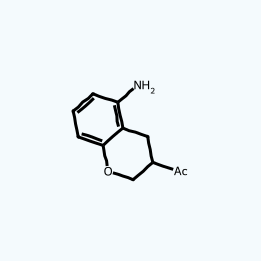 CC(=O)C1COc2cccc(N)c2C1